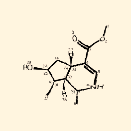 COC(=O)C1=CN[C@@H](C)[C@@H]2[C@@H](C)[C@@H](O)C[C@H]12